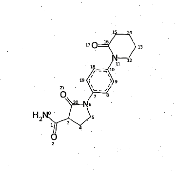 NC(=O)C1CCN(c2ccc(N3CCCCC3=O)cc2)C1=O